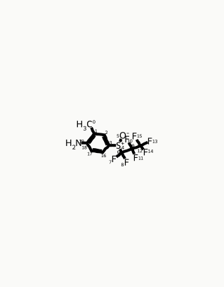 Cc1cc([S+]([O-])C(F)(F)C(F)(F)C(F)(F)F)ccc1N